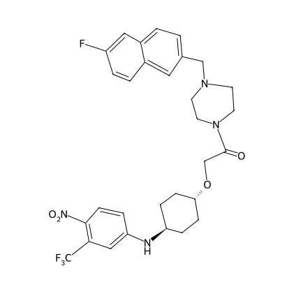 O=C(CO[C@H]1CC[C@H](Nc2ccc([N+](=O)[O-])c(C(F)(F)F)c2)CC1)N1CCN(Cc2ccc3cc(F)ccc3c2)CC1